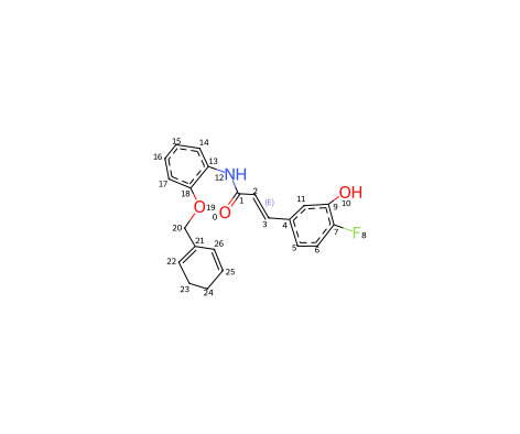 O=C(/C=C/c1ccc(F)c(O)c1)Nc1ccccc1OCC1=CCCC=C1